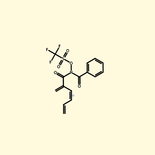 C=C/C=C\C(=C)C(=O)N(OS(=O)(=O)C(F)(F)F)C(=O)c1ccccc1